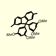 COc1cc(OC)cc(C2(c3cc(OC)cc(OC)c3)c3cc(C)ccc3-c3ccc(C)cc32)c1